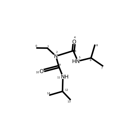 CCN(C(=O)NC(C)C)C(=O)NC(C)C